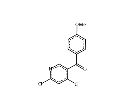 COc1ccc(C(=O)c2cnc(Cl)cc2Cl)cc1